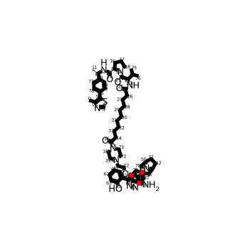 Cc1ncsc1-c1ccc([C@H](C)NC(=O)[C@@H]2CCCN2C(=O)[C@@H](NC(=O)CCCCCCCCCC(=O)N2CCN(CCOc3cccc(N4C5CCC4CN(c4cc(-c6ccccc6O)nnc4N)C5)c3)CC2)C(C)C)cc1